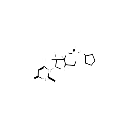 C=C1NC(=O)C=CN1[C@@H]1O[C@@H]2CO[P@](=O)(OC3CCCC3)O[C@H]2[C@@]1(C)N